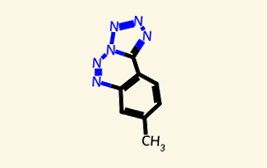 Cc1ccc2c(c1)nnn1nnnc21